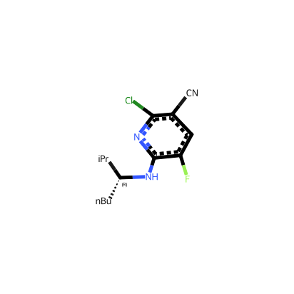 CCCC[C@@H](Nc1nc(Cl)c(C#N)cc1F)C(C)C